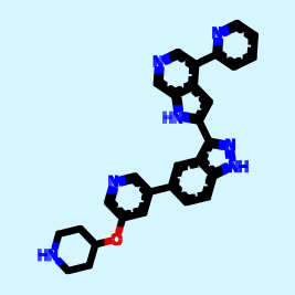 c1ccc(-c2cncc3[nH]c(-c4n[nH]c5ccc(-c6cncc(OC7CCNCC7)c6)cc45)cc23)nc1